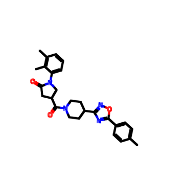 Cc1ccc(-c2nc(C3CCN(C(=O)C4CC(=O)N(c5cccc(C)c5C)C4)CC3)no2)cc1